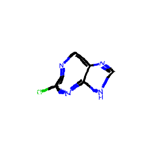 Clc1ncc2n[c][nH]c2n1